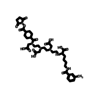 Cc1cccc(C(=O)NCCCCC(NCCN(CCN(CCN(CC(=O)O)C(=O)C2CCC(C(=O)ON3C(=O)CCC3=O)CC2)CC(=O)O)CC(=O)O)C(=O)O)c1